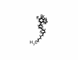 CCCCCCc1ccc(-c2ccc(-c3cc(F)c(Br)c4nsnc34)s2)s1